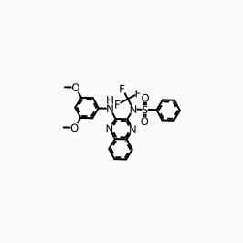 COc1cc(Nc2nc3ccccc3nc2N(C(F)(F)F)S(=O)(=O)c2ccccc2)cc(OC)c1